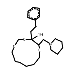 OC1(CCc2ccccc2)CCCCCCCCCCC1CN1CCCCC1